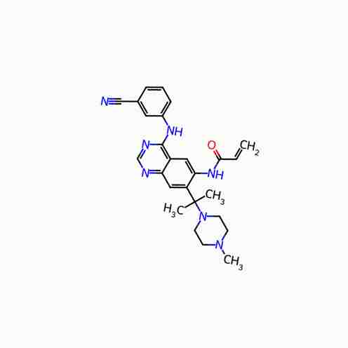 C=CC(=O)Nc1cc2c(Nc3cccc(C#N)c3)ncnc2cc1C(C)(C)N1CCN(C)CC1